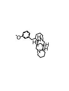 COc1cccc(CC2CCCN3C[C@@H]4C[C@@H](CN5CCCC[C@H]45)[C@H]23)c1